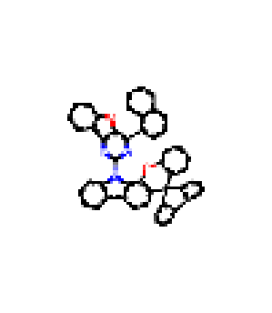 c1ccc2c(c1)Oc1c(ccc3c4ccccc4n(-c4nc(-c5cccc6ccccc56)c5oc6ccccc6c5n4)c13)C21c2ccccc2-c2ccccc21